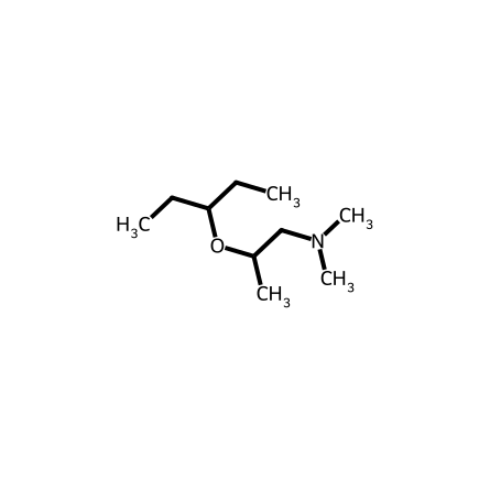 CCC(CC)OC(C)CN(C)C